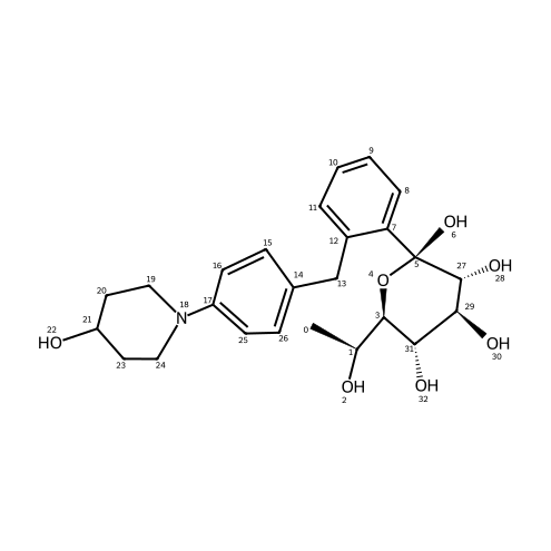 C[C@H](O)[C@H]1O[C@](O)(c2ccccc2Cc2ccc(N3CCC(O)CC3)cc2)[C@H](O)[C@@H](O)[C@@H]1O